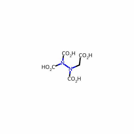 O=C(O)CN(C(=O)O)N(C(=O)O)C(=O)O